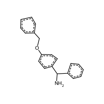 NC(c1ccccc1)c1ccc(OCc2ccccc2)cc1